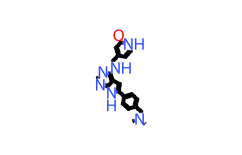 CN(C)Cc1ccc(-c2cc3c(NCc4cc[nH]c(=O)c4)ncnc3[nH]2)cc1